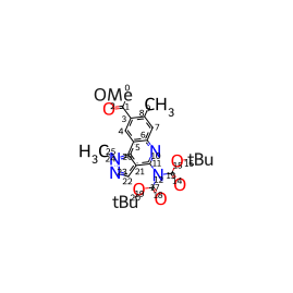 COC(=O)c1cc2c(cc1C)nc(N(C(=O)OC(C)(C)C)C(=O)OC(C)(C)C)c1cnn(C)c12